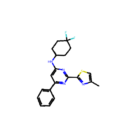 Cc1csc(-c2nc(NC3CCC(F)(F)CC3)cc(-c3ccccc3)n2)n1